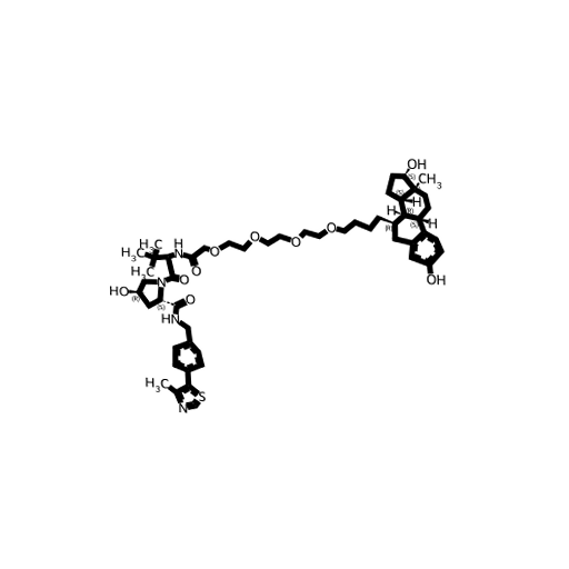 Cc1ncsc1-c1ccc(CNC(=O)[C@@H]2C[C@@H](O)CN2C(=O)C(NC(=O)COCCOCCOCCOCCCC[C@@H]2Cc3cc(O)ccc3[C@H]3CC[C@]4(C)[C@@H](O)CC[C@H]4[C@H]23)C(C)(C)C)cc1